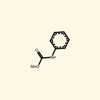 COC(=O)Nc1[c]cccc1